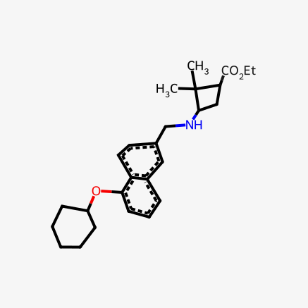 CCOC(=O)C1CC(NCc2ccc3c(OC4CCCCC4)cccc3c2)C1(C)C